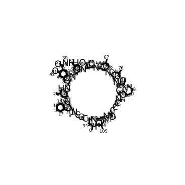 CC[C@H](C)[C@H]1COCN(C)[C@@H](Cc2ccccc2)C(=O)N(C)C(CC(C)C)C(=O)N[C@@H](Cc2ccc(C(=O)NC)c(OC)c2)C(=O)N(C)[C@@H](CC(C)C)C(=O)N[C@@H]([C@@H](C)O)C(=O)N(C)[C@@H](CC(C)C)C(=O)N(C)[C@@H](CC(C)C)C(=O)N[C@H](C(=O)N2CCCCC2)CC(=O)N(C)CCCC(=O)N(C)[C@@H](CC(C)C)C(=O)N1